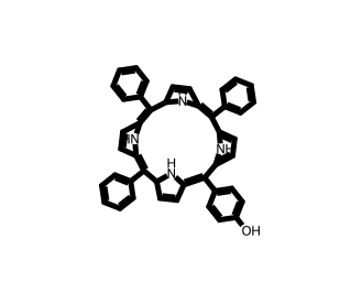 Oc1ccc(/C2=C3\C=CC(N3)/C(c3ccccc3)=c3/cc/c([nH]3)=C(\c3ccccc3)C3C=C/C(=C(\c4ccccc4)c4ccc2[nH]4)N3)cc1